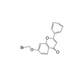 O=c1cc(-c2ccccc2)oc2cc(OCBr)ccc12